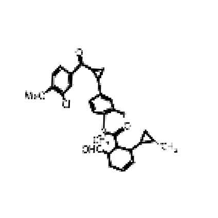 COc1ccc(C(=O)C2CC2c2ccc(N(C)C(=O)C3C(C=O)CC=CC3C3C[C@@H]3C)c(F)c2)cc1Cl